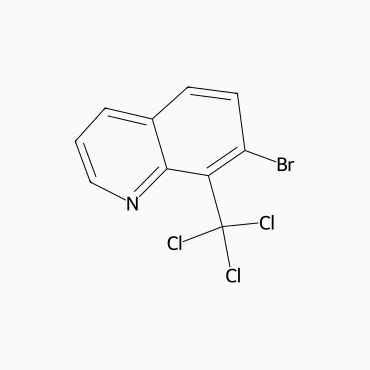 ClC(Cl)(Cl)c1c(Br)ccc2cccnc12